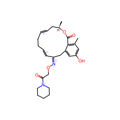 Cc1cc(O)cc2c1C(=O)O[C@H](C)C/C=C/CC/C=C/C(=N\OCC(=O)N1CCCCC1)C2